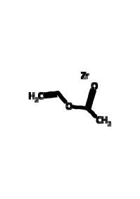 C=COC(C)=O.[Zr]